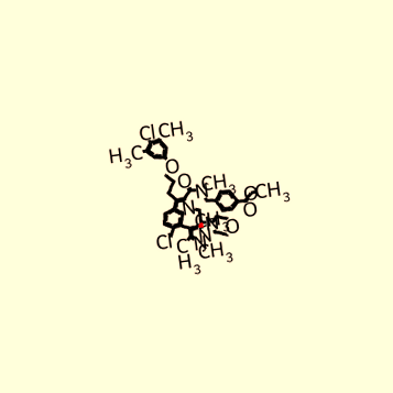 COC(=O)c1ccc(CN(C)C(=O)c2c(CCCOc3cc(C)c(Cl)c(C)c3)c3ccc(Cl)c(-c4c(C)nn(C)c4C)c3n2CCN2CCOCC2)cc1